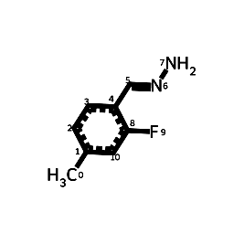 Cc1ccc(C=NN)c(F)c1